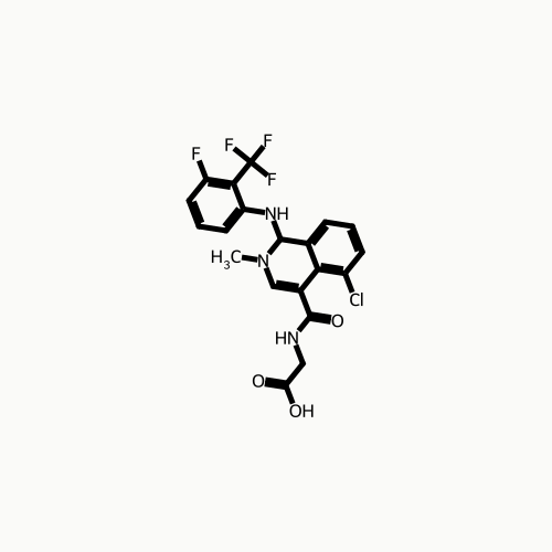 CN1C=C(C(=O)NCC(=O)O)c2c(Cl)cccc2C1Nc1cccc(F)c1C(F)(F)F